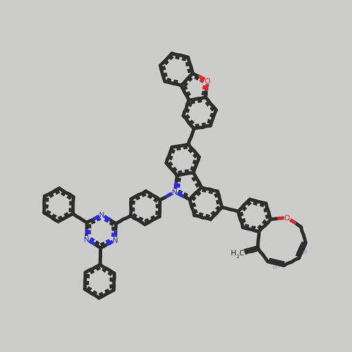 C=C1/C=C\C=C/COc2ccc(-c3ccc4c(c3)c3cc(-c5ccc6oc7ccccc7c6c5)ccc3n4-c3ccc(-c4nc(-c5ccccc5)nc(-c5ccccc5)n4)cc3)cc21